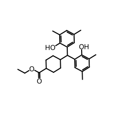 CCOC(=O)C1CCC(C(c2cc(C)cc(C)c2O)c2cc(C)cc(C)c2O)CC1